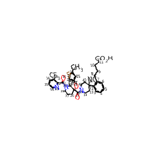 [C-]#[N+]C1(c2ccccc2CCCCC(=O)O)CCN(C(=O)[C@]2(Oc3csc(C)c3)CCCN(C(=O)c3ncccc3C(F)(F)F)[C@@H]2CCC)CC1